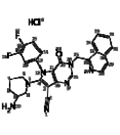 Cl.N#Cc1c(N2CCCC(N)C2)n(-c2ccc(F)c(F)c2)c2c(=O)n(Cc3nccc4ccccc34)cnc12